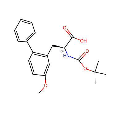 COc1ccc(-c2ccccc2)c(C[C@H](NC(=O)OC(C)(C)C)C(=O)O)c1